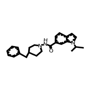 CC(C)n1ccc2ccc(C(=O)NN3CCC(Cc4ccccc4)CC3)cc21